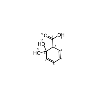 O=C(O)C1C=CC=CC1(O)O